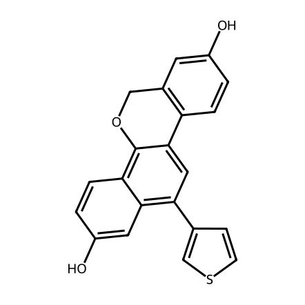 Oc1ccc2c(c1)COc1c-2cc(-c2ccsc2)c2cc(O)ccc12